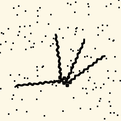 CCCCCCCCCCCCCCCCOP(=O)(OCCCCCCCCCCCCCCCC)OP(=O)(OCCCCCCCCCCCCCCCC)OCCCCCCCCCCCCCCCC